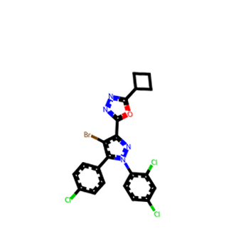 Clc1ccc(-c2c(Br)c(-c3nnc(C4CCC4)o3)nn2-c2ccc(Cl)cc2Cl)cc1